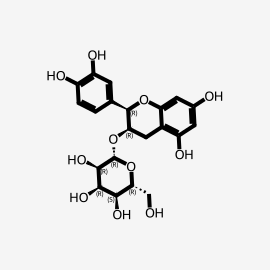 OC[C@H]1O[C@@H](O[C@@H]2Cc3c(O)cc(O)cc3O[C@@H]2c2ccc(O)c(O)c2)[C@H](O)[C@H](O)[C@@H]1O